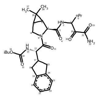 CCCC(NC(=O)[C@@H]1C2C(CN1C(=O)[C@@H](NC(=O)OCC(C)C)C1Cc3ccccc3C1)C2(C)C)C(=O)C(N)=O